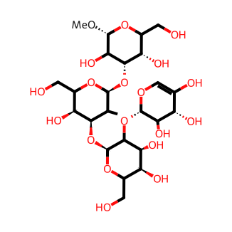 CO[C@@H]1OC(CO)[C@H](O)[C@H](O[C@@H]2OC(CO)[C@H](O)[C@H](O[C@@H]3OC(CO)[C@H](O)[C@H](O)C3O[C@@H]3OC=C(O)[C@H](O)C3O)C2C)C1O